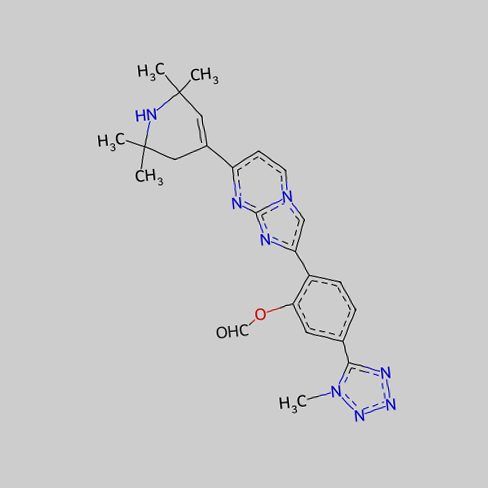 Cn1nnnc1-c1ccc(-c2cn3ccc(C4=CC(C)(C)NC(C)(C)C4)nc3n2)c(OC=O)c1